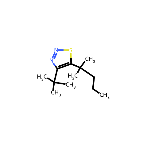 CCCC(C)(C)c1snnc1C(C)(C)C